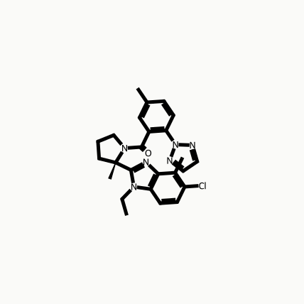 CCn1c([C@]2(C)CCCN2C(=O)c2cc(C)ccc2-n2nccn2)nc2c(C)c(Cl)ccc21